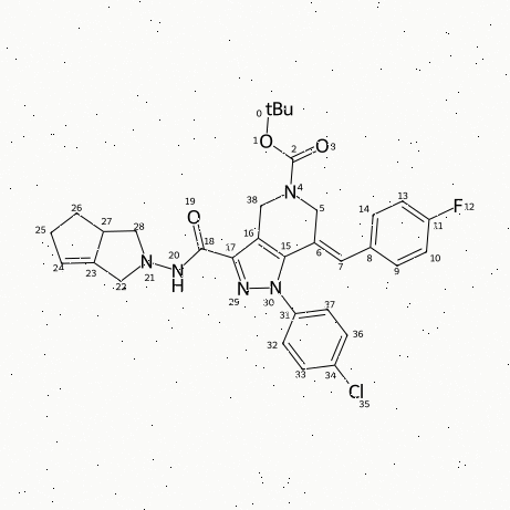 CC(C)(C)OC(=O)N1CC(=Cc2ccc(F)cc2)c2c(c(C(=O)NN3CC4=CCCC4C3)nn2-c2ccc(Cl)cc2)C1